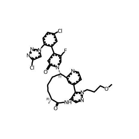 COCCCn1ncc2c1-c1ccnc(c1)[C@@H](n1cc(F)c(-c3cc(Cl)ccc3-n3cc(Cl)nn3)cc1=O)CCC[C@@H](C)C(=O)N2